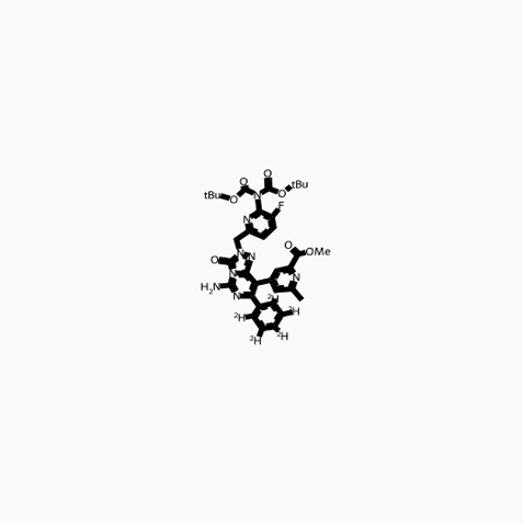 [2H]c1c([2H])c([2H])c(-c2nc(N)n3c(=O)n(Cc4ccc(F)c(N(C(=O)OC(C)(C)C)C(=O)OC(C)(C)C)n4)nc3c2-c2cc(C)nc(C(=O)OC)c2)c([2H])c1[2H]